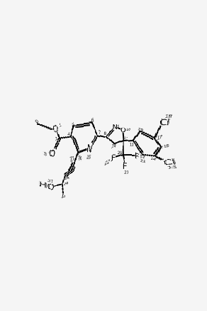 COC(=O)c1ccc(C2=NOC(c3cc(Cl)cc(Cl)c3)(C(F)(F)F)C2)nc1C#CC(C)O